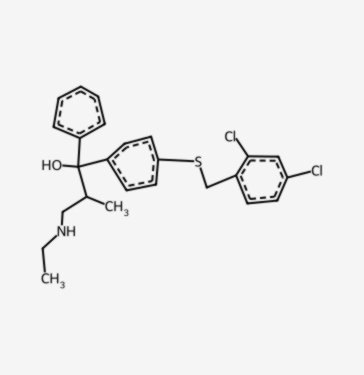 CCNCC(C)C(O)(c1ccccc1)c1ccc(SCc2ccc(Cl)cc2Cl)cc1